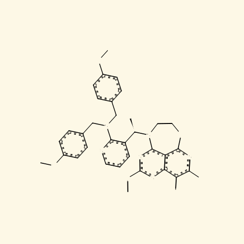 COc1ccc(CN(Cc2ccc(OC)cc2)c2ncccc2[C@@H](C)N2CCOc3nc(Cl)c(F)c4nc(SC)nc2c34)cc1